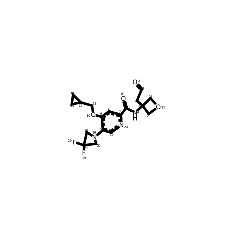 O=CCC1(NC(=O)c2cc(OCC3CC3)c(N3CC(F)(F)C3)cn2)COC1